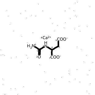 NC(=O)NC(CC(=O)[O-])C(=O)[O-].[Ca+2]